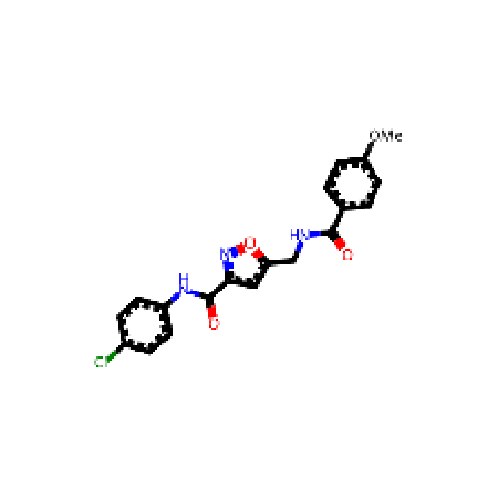 COc1ccc(C(=O)NCc2cc(C(=O)Nc3ccc(Cl)cc3)no2)cc1